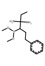 CCC(N)(N)[CH](CCc1ccccc1)[Ti]([O]C)[O]C